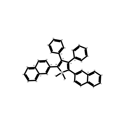 C[Si]1(C)C(c2ccc3ccccc3c2)=C(c2ccccc2)C(c2ccccc2)=C1c1ccc2ccccc2c1